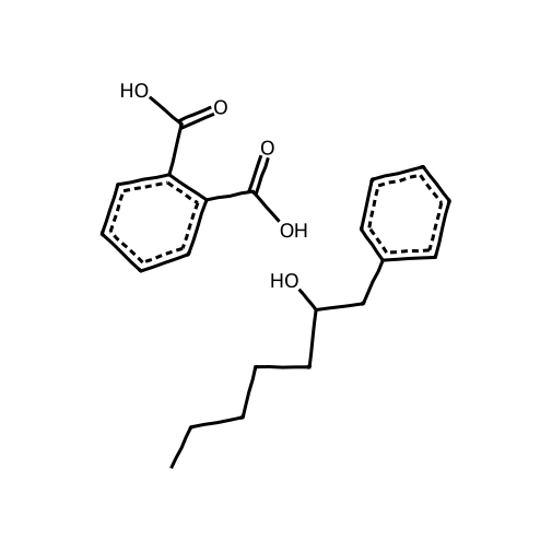 CCCCCC(O)Cc1ccccc1.O=C(O)c1ccccc1C(=O)O